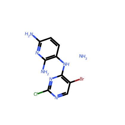 N.Nc1ccc(Nc2nc(Cl)ncc2Br)c(N)n1